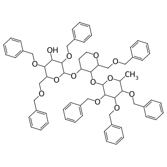 CC1OC(OC2C(COCc3ccccc3)OCCC2OC2OC(COCc3ccccc3)C(OCc3ccccc3)C(O)C2OCc2ccccc2)C(OCc2ccccc2)C(OCc2ccccc2)C1OCc1ccccc1